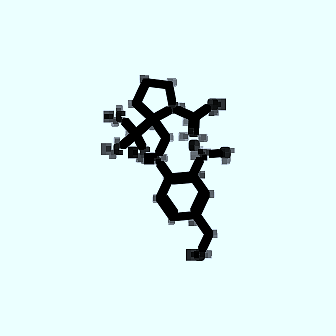 CC(C)(C)C1(CNc2ccc(CO)cc2[N+](=O)[O-])CCCN1C(=O)O